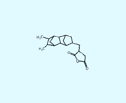 CC1C(C)C2CC1C1C3CC(CC4CC(=O)OC4=O)C(C3)C21